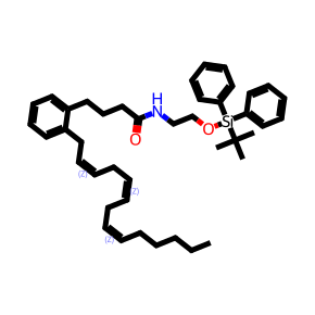 CCCCC/C=C\C/C=C\C/C=C\Cc1ccccc1CCCC(=O)NCCO[Si](c1ccccc1)(c1ccccc1)C(C)(C)C